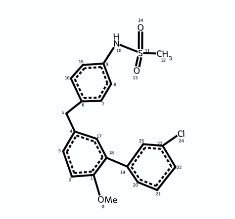 COc1ccc(Cc2ccc(NS(C)(=O)=O)cc2)cc1-c1cccc(Cl)c1